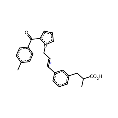 Cc1ccc(C(=O)c2cccn2C/C=C/c2cccc(CC(C)C(=O)O)c2)cc1